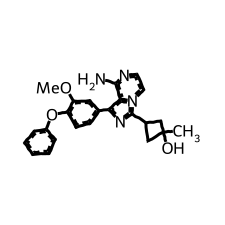 COc1cc(-c2nc(C3CC(C)(O)C3)n3ccnc(N)c23)ccc1Oc1ccccc1